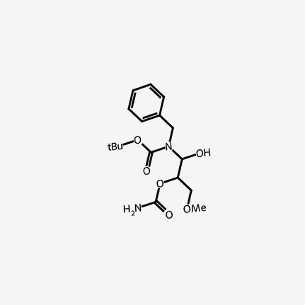 COCC(OC(N)=O)C(O)N(Cc1ccccc1)C(=O)OC(C)(C)C